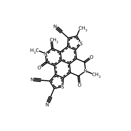 C=c1c2c3c(C#N)c(C)sc3c3c4c(c5sc(C#N)c(C#N)c5c(c(=O)n1C)c42)C(=O)N(C)C3=O